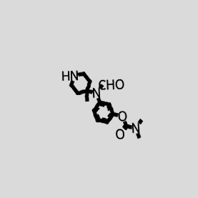 CN(C)C(=O)Oc1cccc(N(C=O)C2(C)CCNCC2)c1